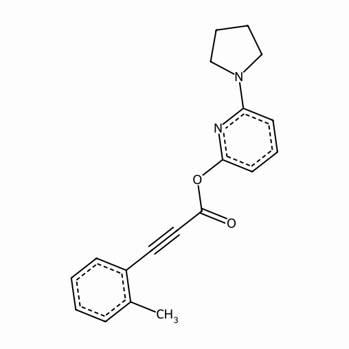 Cc1ccccc1C#CC(=O)Oc1cccc(N2CCCC2)n1